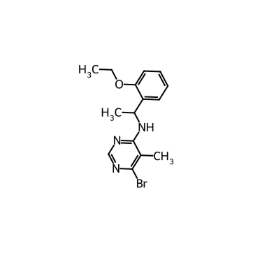 CCOc1ccccc1C(C)Nc1ncnc(Br)c1C